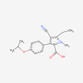 CCc1c(C#N)c(-c2ccc(OC(C)C)cc2)c(C(=O)O)n1C